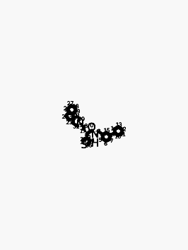 O=C(NCc1cccc(-c2ccccc2)c1)[C@@H](CCN1CCC2(C=Cc3ccccc32)CC1)c1ccsc1